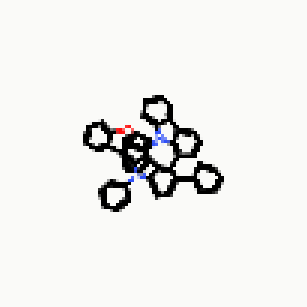 c1ccc(-c2ccc3c(c2-c2cccc4c5ccccc5n(-c5cccc6c5oc5ccccc56)c24)c2ccccc2n3-c2ccccc2)cc1